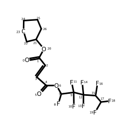 O=C(C=CC(=O)OC(F)C(F)(F)C(F)(F)C(F)C(F)F)OC1CCCCC1